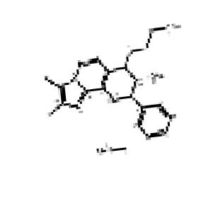 CNC.COCCO[C@@H]1c2ccn3c(C)c(C)nc3c2N[C@H](c2ccccc2)[C@H]1OC(C)=O